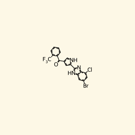 O=C(c1c[nH]c(-c2nc3c(Cl)cc(Br)cc3[nH]2)c1)c1ccccc1C(F)(F)F